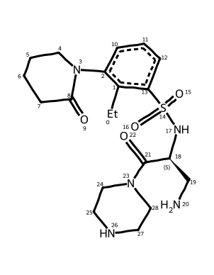 CCc1c(N2CCCCC2=O)cccc1S(=O)(=O)N[C@@H](CN)C(=O)N1CCNCC1